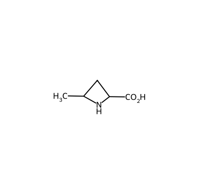 CC1CC(C(=O)O)N1